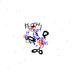 Cc1cc(=O)[nH]c2cc(NC(=O)[C@H](CCCCNC(=O)OC(C)(C)C)NC(=O)[C@H](COCc3ccccc3)NC(=O)OCC3c4ccccc4-c4ccccc43)ccc12